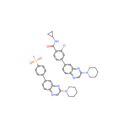 CS(=O)(=O)c1ccc(-c2ccc3ncc(N4CCCCC4)nc3c2)cc1.O=C(NC1CC1)c1ccc(-c2ccc3ncc(N4CCCCC4)nc3c2)cc1Cl